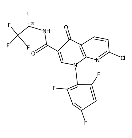 C[C@H](NC(=O)c1cn(-c2c(F)cc(F)cc2F)c2nc(Cl)ccc2c1=O)C(F)(F)F